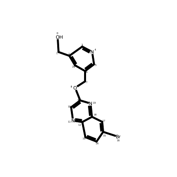 OCc1cncc(COc2cnc3ccc(Br)cc3n2)c1